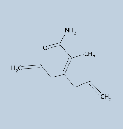 C=CCC(CC=C)=C(C)C(N)=O